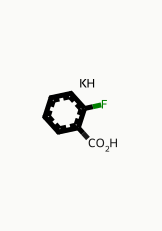 O=C(O)c1ccccc1F.[KH]